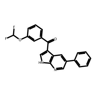 O=C(c1cccc(OC(F)F)c1)c1c[nH]c2ncc(-c3ccccc3)cc12